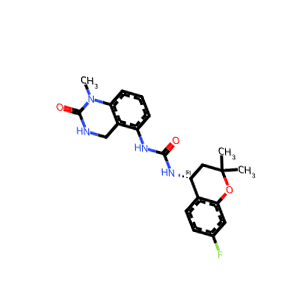 CN1C(=O)NCc2c(NC(=O)N[C@@H]3CC(C)(C)Oc4cc(F)ccc43)cccc21